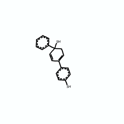 Sc1ccc(C2=CCC(S)(c3ccccc3)C=C2)cc1